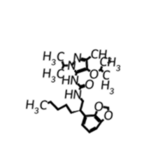 CCCCC[C@@H](CNC(=O)Nc1c(OC(C)C)c(C)nn1C(C)C)c1cccc2c1OCO2